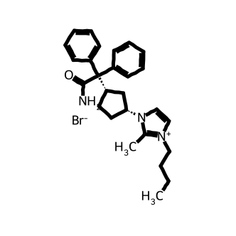 CCCC[n+]1ccn([C@@H]2CC[C@H](C(C(N)=O)(c3ccccc3)c3ccccc3)C2)c1C.[Br-]